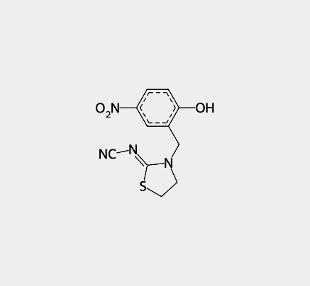 N#CN=C1SCCN1Cc1cc([N+](=O)[O-])ccc1O